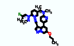 C=NN(/C=C(\C)F)c1ccc([C@H](C)N(C)c2ccc(-c3cc(OCCC)cn4ncc(C#N)c34)cn2)cn1